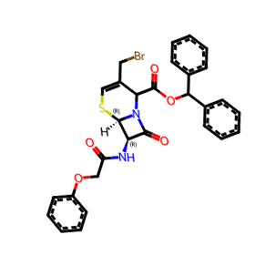 O=C(COc1ccccc1)N[C@@H]1C(=O)N2C(C(=O)OC(c3ccccc3)c3ccccc3)C(CBr)=CS[C@H]12